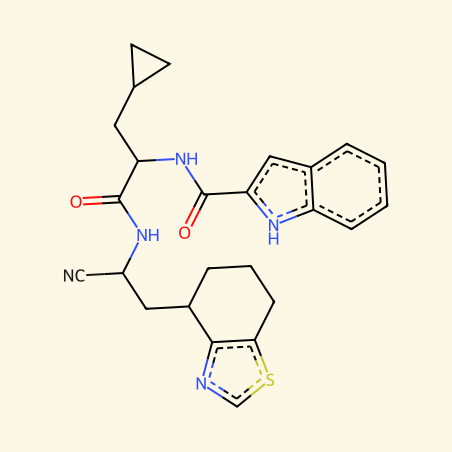 N#CC(CC1CCCc2scnc21)NC(=O)C(CC1CC1)NC(=O)c1cc2ccccc2[nH]1